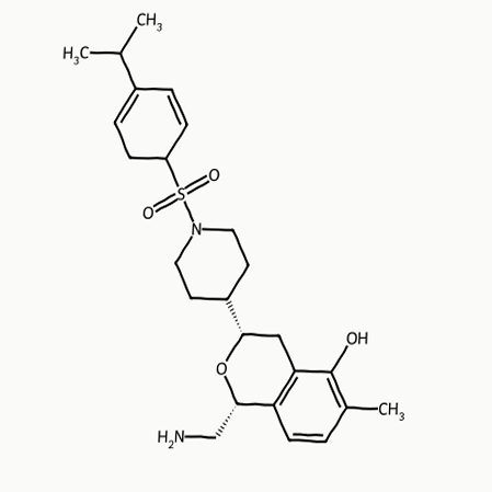 Cc1ccc2c(c1O)C[C@@H](C1CCN(S(=O)(=O)C3C=CC(C(C)C)=CC3)CC1)O[C@H]2CN